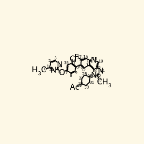 Cc1ccnc(Oc2ccc(-c3cc4c(cc3F)ncc3nc(C)n([C@H]5CC[C@H](C(C)=O)CC5)c34)c(Cl)c2)n1